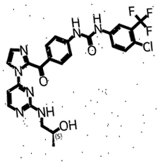 C[C@H](O)CNc1nccc(-n2ccnc2C(=O)c2ccc(NC(=O)Nc3ccc(Cl)c(C(F)(F)F)c3)cc2)n1